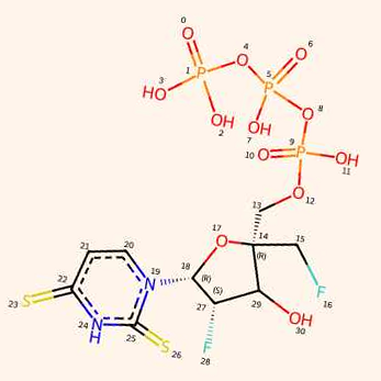 O=P(O)(O)OP(=O)(O)OP(=O)(O)OC[C@@]1(CF)O[C@@H](n2ccc(=S)[nH]c2=S)[C@@H](F)C1O